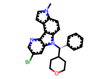 Cn1ccc2c3c4ncc(Br)cc4n([C@H](c4ccccc4)C4CCOCC4)c3ccc21